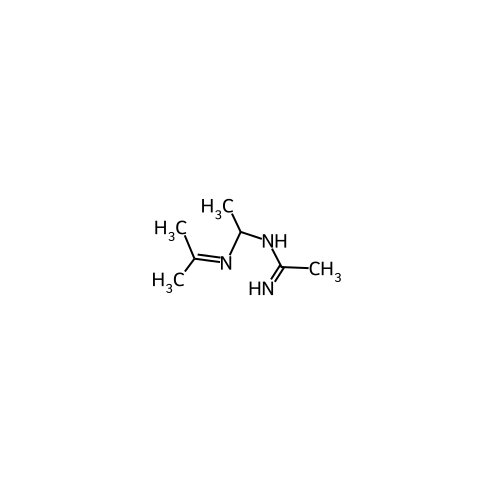 CC(=N)NC(C)N=C(C)C